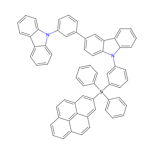 c1ccc([Si](c2ccccc2)(c2cccc(-n3c4ccccc4c4cc(-c5cccc(-n6c7ccccc7c7ccccc76)c5)ccc43)c2)c2cc3ccc4cccc5ccc(c2)c3c45)cc1